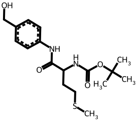 CSCCC(NC(=O)OC(C)(C)C)C(=O)Nc1ccc(CO)cc1